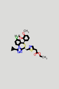 CCOC(=O)Cc1cnc(C[C@H]2S[C@H](c3cccc(OC)c3OC)c3cc(Cl)ccc3-n3c(C4CC4)nnc32)s1